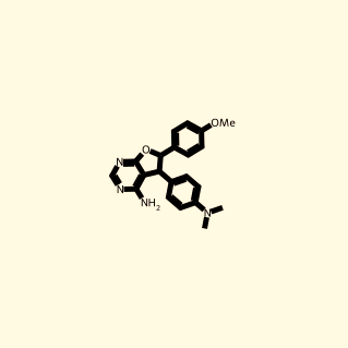 COc1ccc(C2Oc3ncnc(N)c3C2c2ccc(N(C)C)cc2)cc1